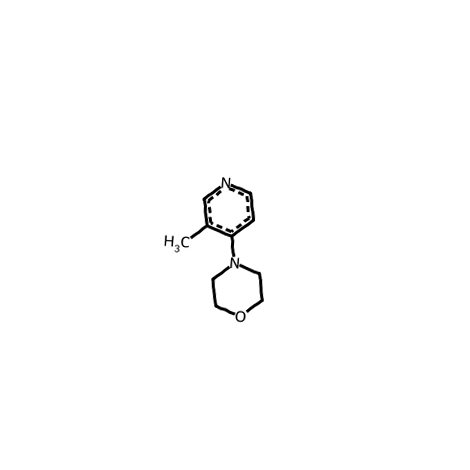 Cc1cnccc1N1CCOCC1